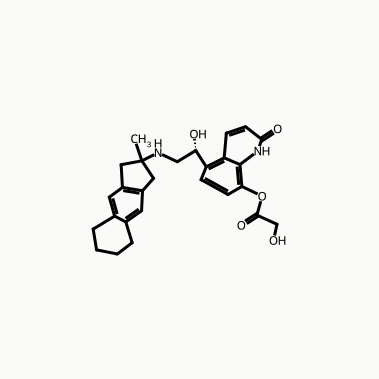 CC1(NC[C@H](O)c2ccc(OC(=O)CO)c3[nH]c(=O)ccc23)Cc2cc3c(cc2C1)CCCC3